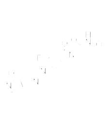 COc1cc(CN2CCN(c3cc4c(cc3F)C(=O)N(C3CCC(=O)NC3=O)C4)CC2)ccn1